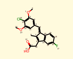 COc1cc(C=C2C(C)=C(CC(=O)O)c3cc(F)ccc32)cc(OC)c1Cl